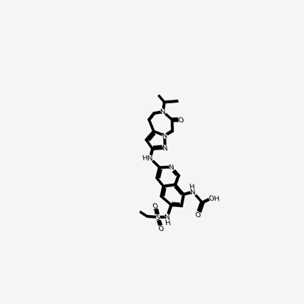 CCS(=O)(=O)Nc1cc(NC(=O)O)c2cnc(Nc3cc4n(n3)CC(=O)N(C(C)C)CC4)cc2c1